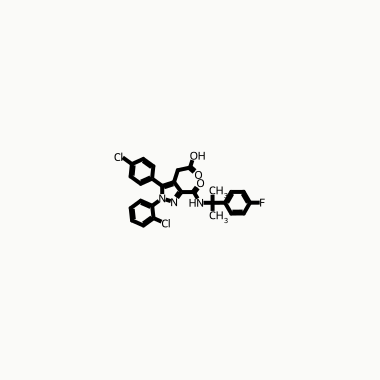 CC(C)(NC(=O)c1nn(-c2ccccc2Cl)c(-c2ccc(Cl)cc2)c1CC(=O)O)c1ccc(F)cc1